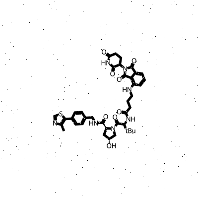 Cc1ncsc1-c1ccc(CNC(=O)[C@@H]2C[C@@H](O)CN2C(=O)C(NC(=O)CCCNc2cccc3c2C(=O)N(C2CCC(=O)NC2=O)C3=O)C(C)(C)C)cc1